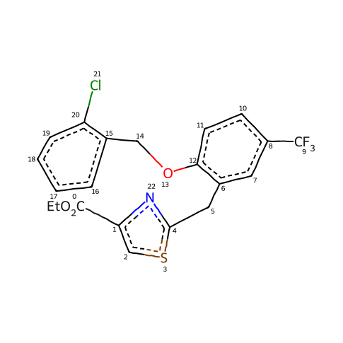 CCOC(=O)c1csc(Cc2cc(C(F)(F)F)ccc2OCc2ccccc2Cl)n1